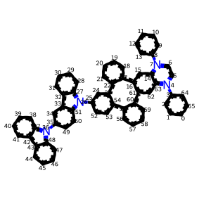 c1ccc(-n2ccn(-c3ccccc3)c3cc4c5ccccc5c5cc(-n6c7ccccc7c7cc(-n8c9ccccc9c9ccccc98)ccc76)ccc5c5ccccc5c4cc32)cc1